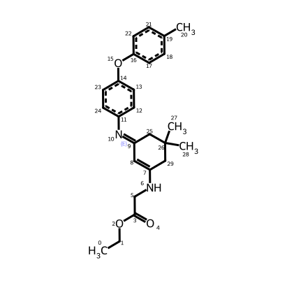 CCOC(=O)CNC1=C/C(=N/c2ccc(Oc3ccc(C)cc3)cc2)CC(C)(C)C1